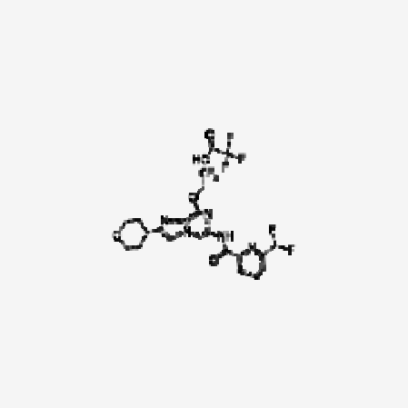 O=C(Nc1cn2cc(C3CCOCC3)nc2c(OCC(F)(F)F)n1)c1cccc(C(F)F)n1.O=C(O)C(F)(F)F